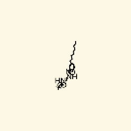 CCCCCCCCCc1ccc2oc(NCCNC(=O)OC(C)(C)C)nc2c1